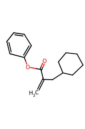 C=C(CC1CCCCC1)C(=O)Oc1ccccc1